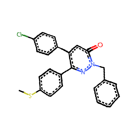 CSc1ccc(-c2nn(Cc3ccccc3)c(=O)cc2-c2ccc(Cl)cc2)cc1